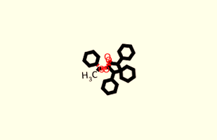 CCOC(=O)C(C1CCCCC1)C1(C(C(=O)OC2CCCCC2)C2CCCCC2)CCCCC1